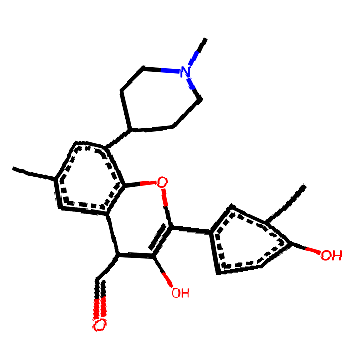 Cc1cc(C2CCN(C)CC2)c2c(c1)C(C=O)C(O)=C(c1ccc(O)c(C)c1)O2